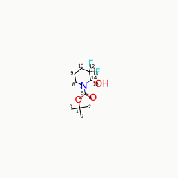 CC(C)(C)OC(=O)N1CCCC(F)(F)C1O